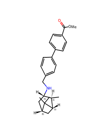 COC(=O)c1ccc(-c2ccc(CN[C@H]3C[C@H]4C[C@@H]([C@@H]3C)C4(C)C)cc2)cc1